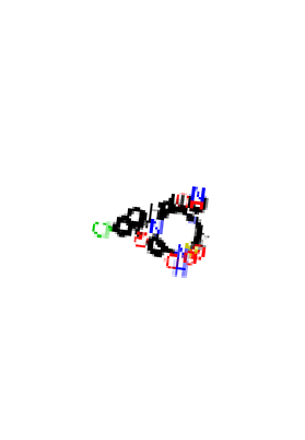 C[C@@H]1[C@@H](C)C/C=C/[C@@](O)(c2cccnc2)[C@@H]2CC[C@H]2CN2C[C@@]3(CCCc4cc(Cl)ccc43)COc3ccc(cc32)C(=O)NS1(=O)=O